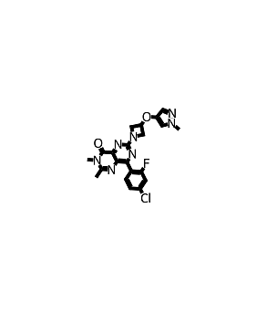 Cc1nc2c(-c3ccc(Cl)cc3F)nc(N3CC(Oc4cnn(C)c4)C3)nc2c(=O)n1C